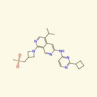 CC(C)c1cnc(N2CC(CS(C)(=O)=O)C2)c2cnc(Nc3ccnc(C4CCC4)n3)cc12